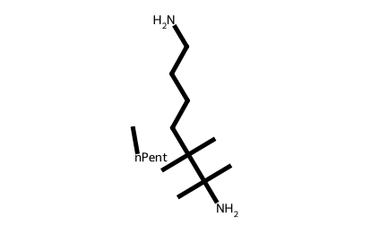 CC(C)(N)C(C)(C)CCCCN.CCCCCC